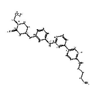 NCCCNc1ccc(-c2ccnc(Nc3cccc(CN4CCN(CC(=O)O)C(=O)C4)c3)n2)cn1